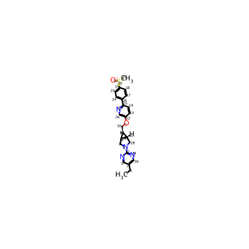 CCc1cnc(N2CC3[C@@H](COc4ccc(-c5ccc([S+](C)[O-])cc5)nc4)[C@@H]3C2)nc1